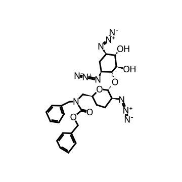 [N-]=[N+]=N[C@H]1CC[C@@H](CN(Cc2ccccc2)C(=O)OCc2ccccc2)O[C@@H]1O[C@H]1[C@H](O)[C@@H](O)[C@H](N=[N+]=[N-])C[C@@H]1N=[N+]=[N-]